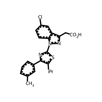 Cc1cccc(-c2nc(-n3nc(CC(=O)O)c4cc(Cl)ccc43)sc2C(C)C)c1